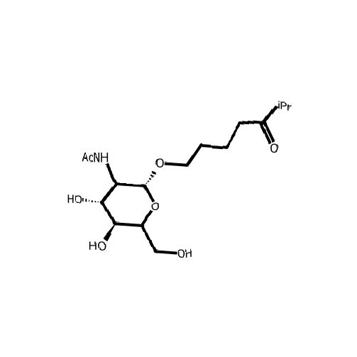 CC(=O)NC1[C@H](OCCCCC(=O)C(C)C)OC(CO)[C@@H](O)[C@@H]1O